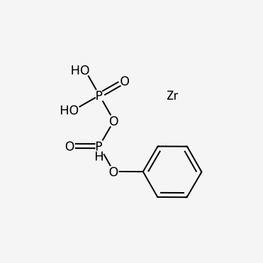 O=[PH](Oc1ccccc1)OP(=O)(O)O.[Zr]